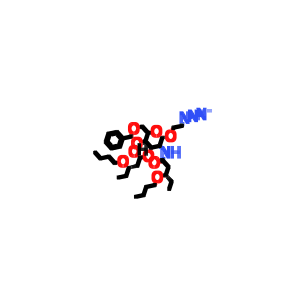 CCCCO[C@H](CC)CC(=O)NC1[C@@H](OCCN=[N+]=[N-])OC2COC(c3ccccc3)O[C@H]2[C@@H]1OC(=O)C[C@@H](CC)OCCCC